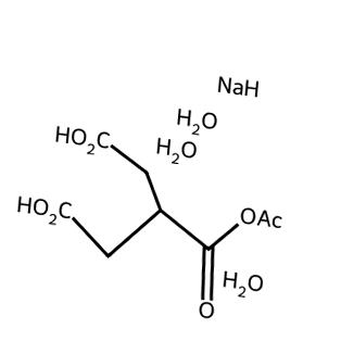 CC(=O)OC(=O)C(CC(=O)O)CC(=O)O.O.O.O.[NaH]